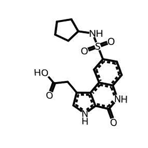 O=C(O)Cc1c[nH]c2c(=O)[nH]c3ccc(S(=O)(=O)NC4CCCC4)cc3c12